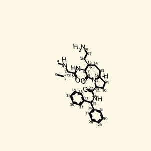 CC[C@H](NC)C(=O)N[C@@H]1C(=O)N2[C@@H](CC[C@@H]1CCN)CC[C@H]2C(=O)NC(c1ccccc1)c1ccccc1